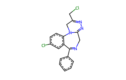 ClCC1=NN=C2CN=C(c3ccccc3)c3cc(Cl)ccc3N2C1